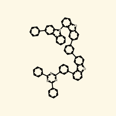 c1ccc(-c2ccc3c(c2)c2ccccc2n3-c2cccc3oc4ccc(-c5cccc(-c6ccc7oc8cccc(-c9cccc(-c%10nc(-c%11ccccc%11)nc(-c%11ccccc%11)n%10)c9)c8c7c6)c5)cc4c23)cc1